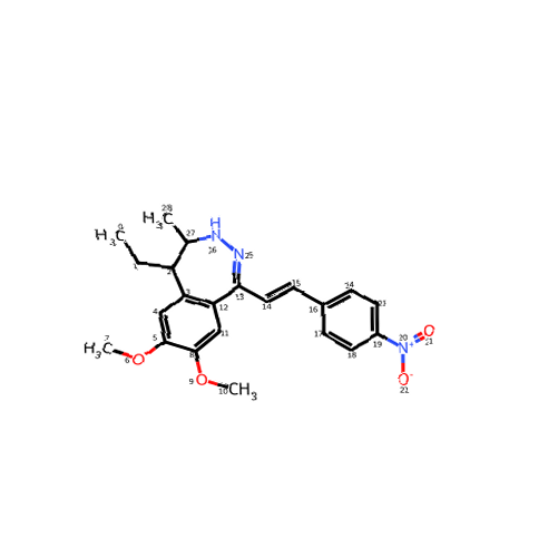 CCC1c2cc(OC)c(OC)cc2C(/C=C/c2ccc([N+](=O)[O-])cc2)=NNC1C